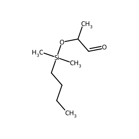 CCCC[Si](C)(C)OC(C)C=O